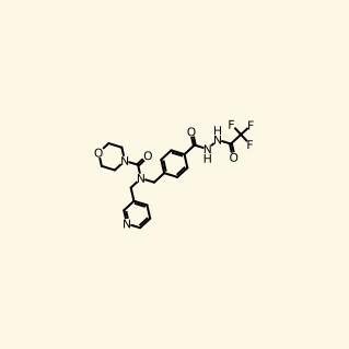 O=C(NNC(=O)C(F)(F)F)c1ccc(CN(Cc2cccnc2)C(=O)N2CCOCC2)cc1